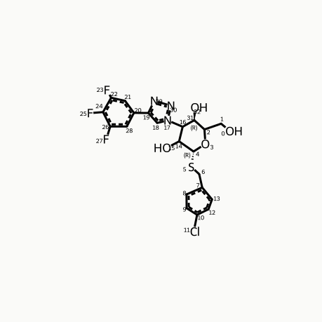 OCC1O[C@H](SCc2ccc(Cl)cc2)C(O)C(n2cc(-c3cc(F)c(F)c(F)c3)nn2)[C@H]1O